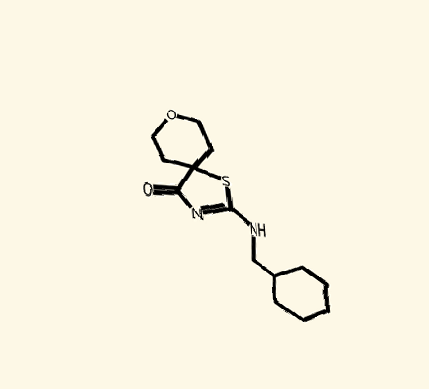 O=C1N=C(NCC2CCCCC2)SC12CCOCC2